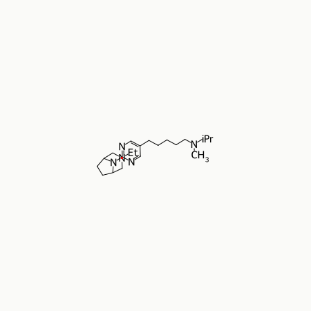 CCN1CC2CCC(C1)N2c1ncc(CCCCCN(C)C(C)C)cn1